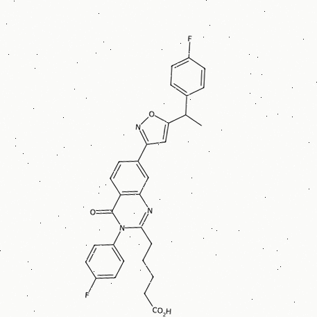 CC(c1ccc(F)cc1)c1cc(-c2ccc3c(=O)n(-c4ccc(F)cc4)c(CCCCC(=O)O)nc3c2)no1